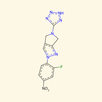 O=[N+]([O-])c1ccc(-n2cc3c(n2)CN(c2nn[nH]n2)C3)c(F)c1